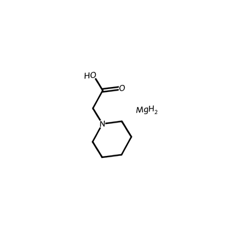 O=C(O)CN1CCCCC1.[MgH2]